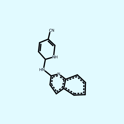 N#CC1=CNC(Nc2ccc3ccccc3n2)C=C1